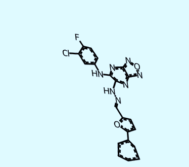 Fc1ccc(Nc2nc3nonc3nc2NN=Cc2ccc(-c3ccccc3)o2)cc1Cl